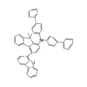 CC1(C)c2ccccc2-c2c(-c3cccc4c3oc3ccccc34)ccc(N(c3ccc(-c4ccccc4)cc3)c3ccc(-c4ccccc4)cc3)c21